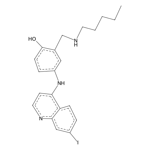 CCCCCNCc1cc(Nc2ccnc3cc(I)ccc23)ccc1O